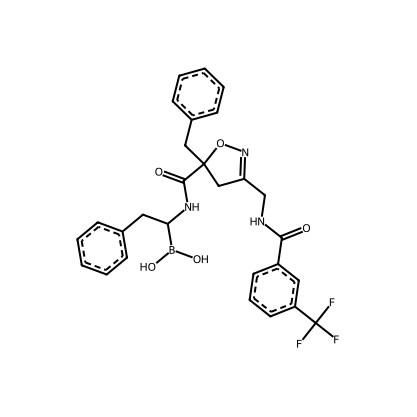 O=C(NCC1=NOC(Cc2ccccc2)(C(=O)NC(Cc2ccccc2)B(O)O)C1)c1cccc(C(F)(F)F)c1